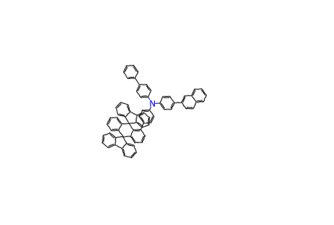 c1ccc(-c2ccc(N(c3ccc(-c4ccc5ccccc5c4)cc3)c3ccc(-c4cccc5c4C4(c6ccccc6-c6ccccc64)c4ccccc4C54c5ccccc5-c5ccccc54)cc3)cc2)cc1